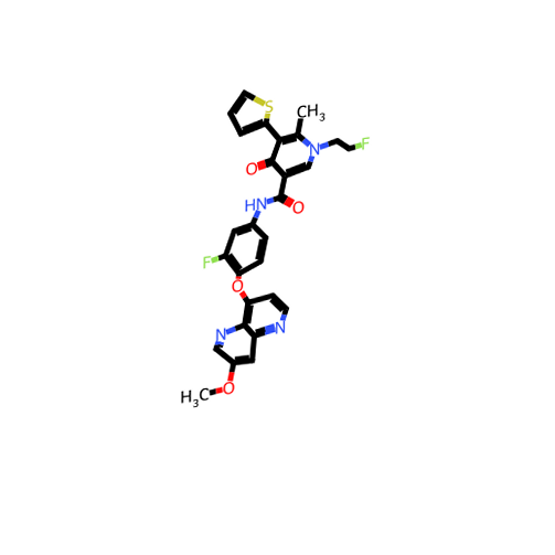 COc1cnc2c(Oc3ccc(NC(=O)c4cn(CCF)c(C)c(-c5cccs5)c4=O)cc3F)ccnc2c1